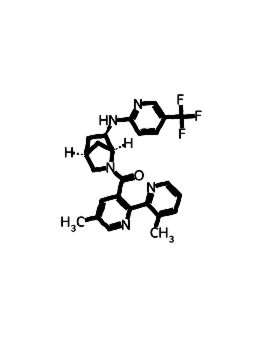 Cc1cnc(-c2ncccc2C)c(C(=O)N2C[C@H]3C[C@@H](Nc4ccc(C(F)(F)F)cn4)[C@@H]2C3)c1